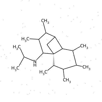 CC(C)NC1C(C)C(C)C2C[C@]13C(C)C(C)C(C)C(C)C23